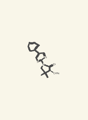 CO[C@@H]1C(=O)N(c2ncc(-c3ccccc3)cn2)CC1(C)C